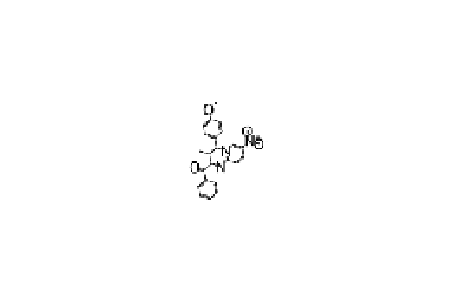 COc1ccc(C2C(C)C(C(=O)c3ccccc3)N=C3C=CC([N+](=O)[O-])=CN32)cc1